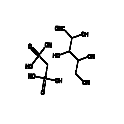 O=CC(O)C(O)C(O)CO.O=P(O)(O)CP(=O)(O)O